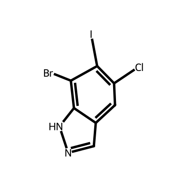 Clc1cc2cn[nH]c2c(Br)c1I